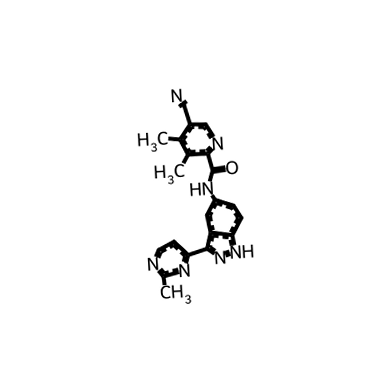 Cc1nccc(-c2n[nH]c3ccc(NC(=O)c4ncc(C#N)c(C)c4C)cc23)n1